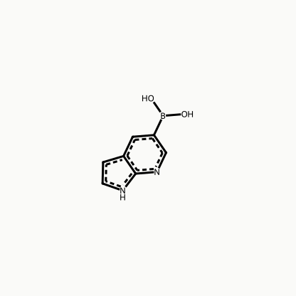 OB(O)c1cnc2[nH]ccc2c1